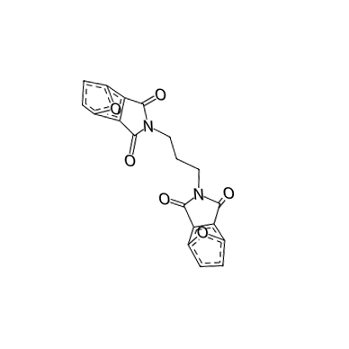 O=C1c2c(c3ccc2o3)C(=O)N1CCCN1C(=O)c2c(c3ccc2o3)C1=O